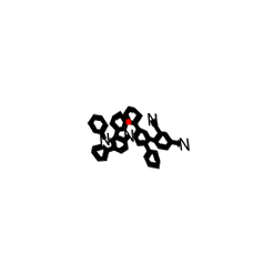 N#Cc1ccc(-c2cc(-c3ccccc3)c(-n3c4ccccc4c4c3ccc3c5ccccc5n(-c5ccccc5)c34)cc2-c2ccccc2)c(C#N)c1